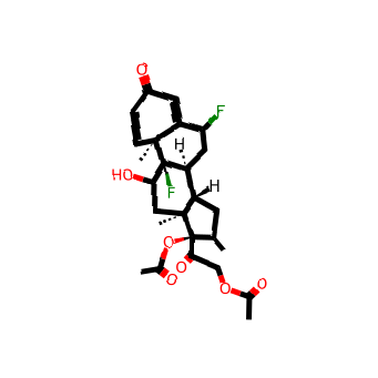 CC(=O)OCC(=O)[C@@]1(OC(C)=O)C(C)C[C@H]2[C@@H]3CC(F)C4=CC(=O)C=C[C@]4(C)[C@@]3(F)C(O)C[C@@]21C